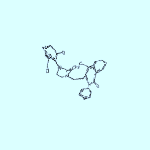 O=C(O)c1c(CN2CCN(c3c(Cl)cncc3Cl)CC2)n(-c2ccccc2)c(=O)c2ccccc12